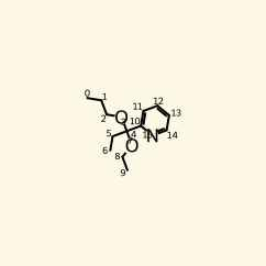 CCCOC(CC)(OCC)c1ccccn1